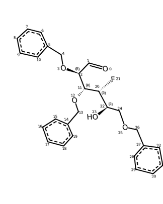 O=C[C@H](OCc1ccccc1)[C@@H](OCc1ccccc1)[C@H](F)[C@H](O)COCc1ccccc1